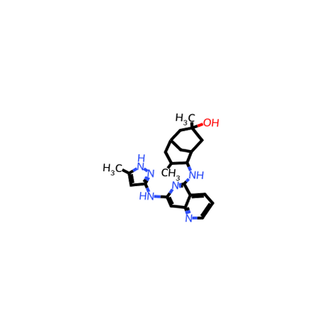 Cc1cc(Nc2cc3ncccc3c(NC3C(C)CC4CC3CC(C)(O)C4)n2)n[nH]1